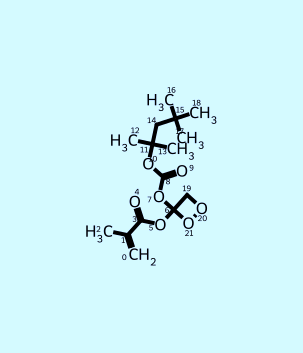 C=C(C)C(=O)OC1(OC(=O)OC(C)(C)CC(C)(C)C)COO1